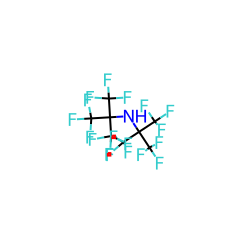 FC(F)(F)C(NC(C(F)(F)F)(C(F)(F)F)C(F)(F)F)(C(F)(F)F)C(F)(F)F